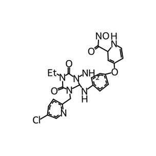 CCN1C(=O)N(N)C(Nc2ccc(OC3=CC(C(=O)N=O)NC=C3)cc2)N(Cc2ccc(Cl)cn2)C1=O